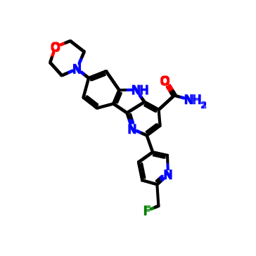 NC(=O)c1cc(-c2ccc(CF)nc2)nc2c1[nH]c1cc(N3CCOCC3)ccc12